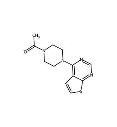 CC(=O)N1CCN(c2ncnc3sccc23)CC1